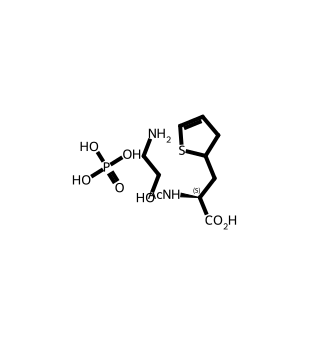 CC(=O)N[C@@H](CC1CC=CS1)C(=O)O.NCCO.O=P(O)(O)O